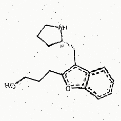 OCCCc1oc2ccccc2c1C[C@@H]1CCCN1